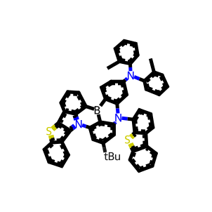 Cc1ccccc1N(c1ccc2c(c1)N(c1cccc3c1sc1ccccc13)c1cc(C(C)(C)C)cc3c1B2c1cccc2c4sc5ccccc5c4n-3c12)c1ccccc1C